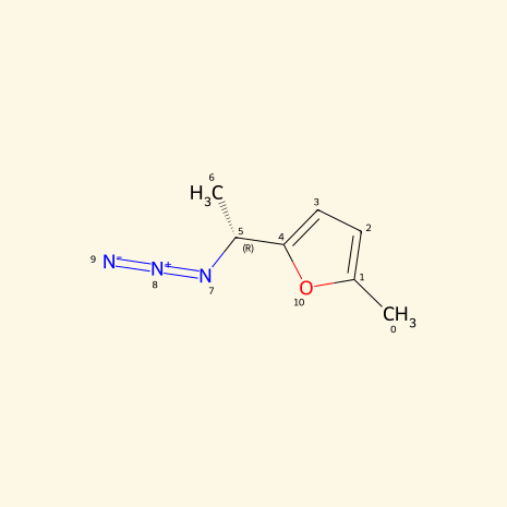 Cc1ccc([C@@H](C)N=[N+]=[N-])o1